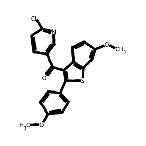 COc1ccc(-c2sc3cc(OC)ccc3c2C(=O)c2ccc(Cl)nc2)cc1